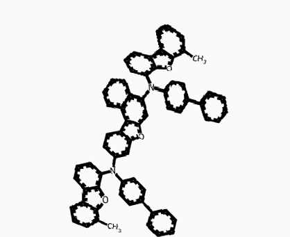 Cc1cccc2c1oc1c(N(c3ccc(-c4ccccc4)cc3)c3ccc4c(c3)oc3cc(N(c5ccc(-c6ccccc6)cc5)c5cccc6c5oc5c(C)cccc56)c5ccccc5c34)cccc12